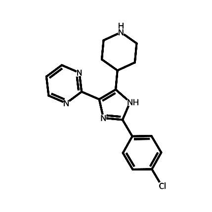 Clc1ccc(-c2nc(-c3ncccn3)c(C3CCNCC3)[nH]2)cc1